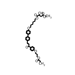 C=CC(=O)OCCCOc1ccc(C(=O)/C=C/c2ccc(-c3ccc(OCCCCCCOC(=O)C(=C)CC(=O)OC)cc3)cc2)cc1